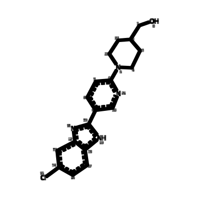 OCC1CCN(c2ccc(-c3nc4cc(Cl)ccc4[nH]3)cn2)CC1